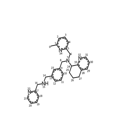 Cc1cccc(CN(Cc2cccc(CNCc3ccccn3)c2)C2CCCc3cccnc32)n1